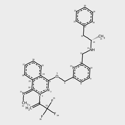 C=C(n1nc(OCc2cccc(CN[C@@H](C)Cc3ccccc3)n2)c2ccccc2/c1=N/C)C(F)(F)F